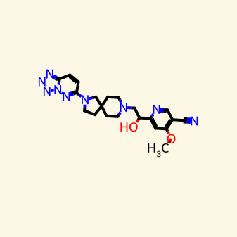 COc1cc(C(O)CN2CCC3(CC2)CCN(c2ccc4nnnn4n2)C3)ncc1C#N